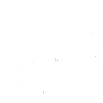 O=C(O)C(F)(F)F.O=C1NCCc2nc(OCc3ccccc3F)sc21